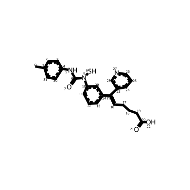 Cc1ccc(NC(=O)N(S)c2cccc(C(=CCCCC(=O)O)c3cccnc3)c2)cc1